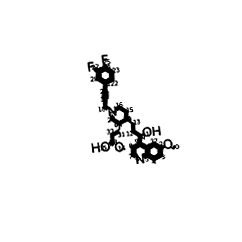 COc1ccc2nccc([C@H](O)CC[C@@H]3CCN(CC#Cc4ccc(F)c(F)c4)C[C@H]3CCC(=O)O)c2c1